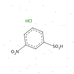 Cl.O=[N+]([O-])c1cccc(S(=O)(=O)O)c1